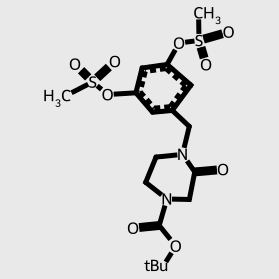 CC(C)(C)OC(=O)N1CCN(Cc2cc(OS(C)(=O)=O)cc(OS(C)(=O)=O)c2)C(=O)C1